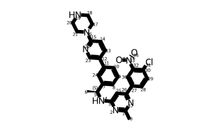 Cc1nc(N[C@@H](C)c2cccc(-c3ccc(N4CCNCC4)nc3)c2)cc(-c2ccc(Cl)c([N+](=O)[O-])c2)n1